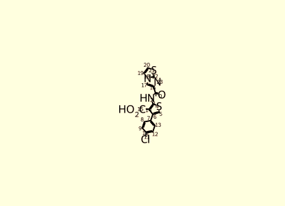 O=C(Nc1scc(-c2ccc(Cl)cc2)c1C(=O)O)c1cn2ccsc2n1